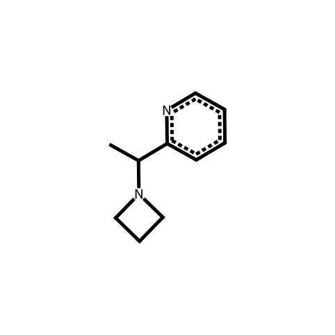 CC(c1ccccn1)N1CCC1